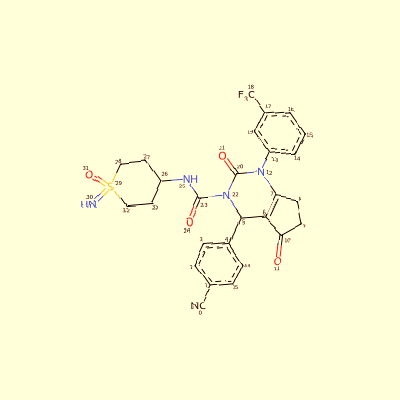 N#Cc1ccc(C2C3=C(CCC3=O)N(c3cccc(C(F)(F)F)c3)C(=O)N2C(=O)NC2CCS(=N)(=O)CC2)cc1